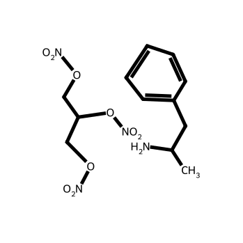 CC(N)Cc1ccccc1.O=[N+]([O-])OCC(CO[N+](=O)[O-])O[N+](=O)[O-]